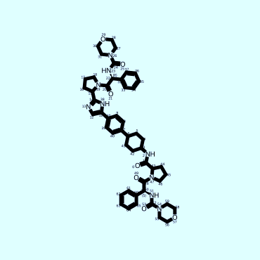 O=C(NC1CCC(c2ccc(-c3cnc(C4CCCN4C(=O)[C@H](NC(=O)N4CCOCC4)c4ccccc4)[nH]3)cc2)CC1)C1CCCN1C(=O)[C@@H](NC(=O)N1CCOCC1)c1ccccc1